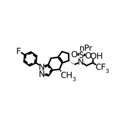 CCCS(=O)(=O)N(CC(O)C(F)(F)F)C[C@H]1CCC2=C1[C@@H](C)c1cnn(-c3ccc(F)cc3)c1C2